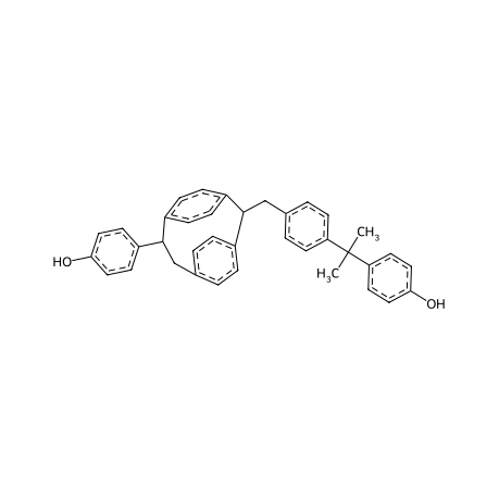 CC(C)(c1ccc(O)cc1)c1ccc(CC2c3ccc(cc3)CC(c3ccc(O)cc3)c3ccc2cc3)cc1